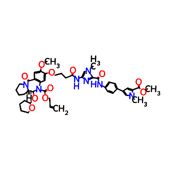 C=CCOC(=O)N1c2cc(OCCCC(=O)Nc3cn(C)c(C(=O)Nc4ccc(-c5cc(C(=O)OC)n(C)c5)cc4)n3)c(OC)cc2C(=O)N2CCCC[C@H]2C1OC1CCCCO1